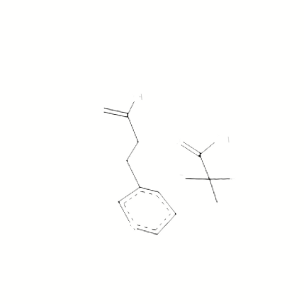 O=C(O)C(F)(F)F.O=C(O)CCc1cccnc1